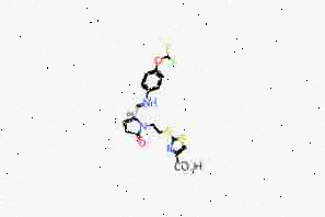 O=C(O)c1csc(SCCN2C(=O)CC[C@@H]2CNc2ccc(OC(F)F)cc2)n1